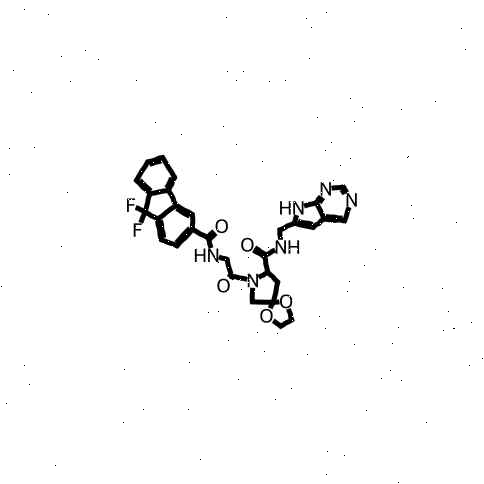 O=C(NCC(=O)N1CC2(CC1C(=O)NCc1cc3cncnc3[nH]1)OCCO2)c1ccc2c(c1)-c1ccccc1C2(F)F